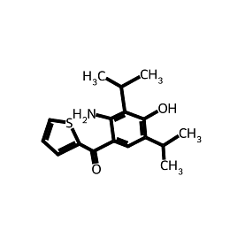 CC(C)c1cc(C(=O)c2cccs2)c(N)c(C(C)C)c1O